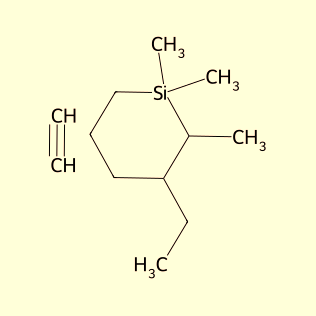 C#C.CCC1CCC[Si](C)(C)C1C